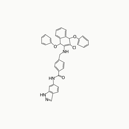 O=C(Nc1ccc2cn[nH]c2c1)c1ccc(CNC2=C(Cl)C(Oc3ccccc3)c3ccccc3C2Oc2ccccc2)cc1